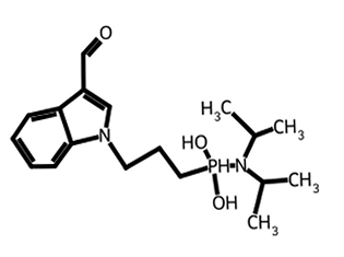 CC(C)N(C(C)C)[PH](O)(O)CCCn1cc(C=O)c2ccccc21